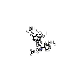 NC(=O)OCC1=C(C(=O)O)N2C(=O)[C@@H](NC(=O)/C(=N\OCC3CC3)c3ccnc(N)n3)[C@H]2SC1